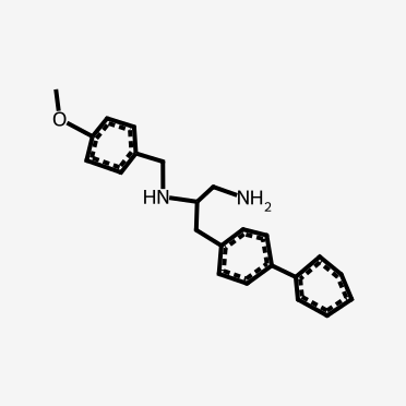 COc1ccc(CNC(CN)Cc2ccc(-c3ccccc3)cc2)cc1